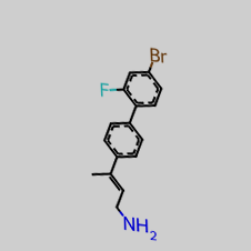 CC(=CCN)c1ccc(-c2ccc(Br)cc2F)cc1